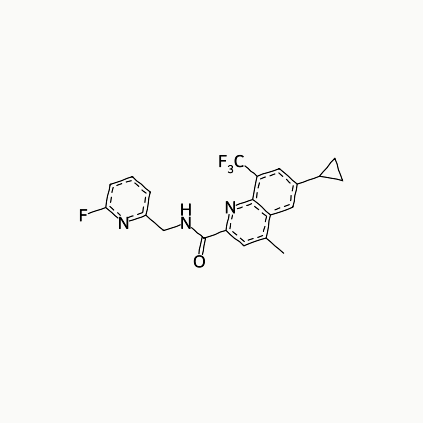 Cc1cc(C(=O)NCc2cccc(F)n2)nc2c(C(F)(F)F)cc(C3CC3)cc12